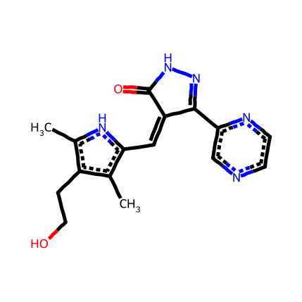 Cc1[nH]c(C=C2C(=O)NN=C2c2cnccn2)c(C)c1CCO